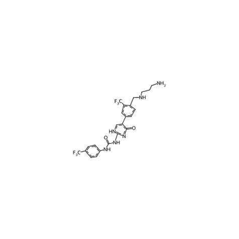 NCCCNCc1ccc(-c2c[nH]c(NC(=O)Nc3ccc(C(F)(F)F)cc3)nc2=O)cc1C(F)(F)F